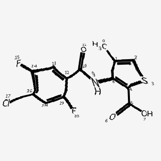 Cc1csc(C(=O)O)c1NC(=O)c1cc(F)c(Cl)cc1F